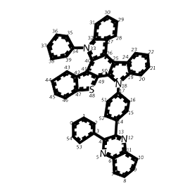 c1ccc(-c2nc3ccccc3nc2-c2ccc(-n3c4ccccc4c4c5c6ccccc6n(-c6ccccc6)c5c5c6ccccc6sc5c43)cc2)cc1